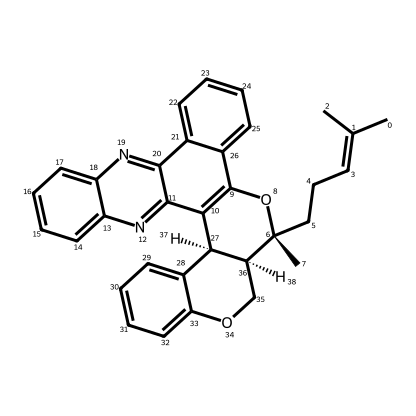 CC(C)=CCC[C@@]1(C)Oc2c(c3nc4ccccc4nc3c3ccccc23)[C@@H]2c3ccccc3OC[C@@H]21